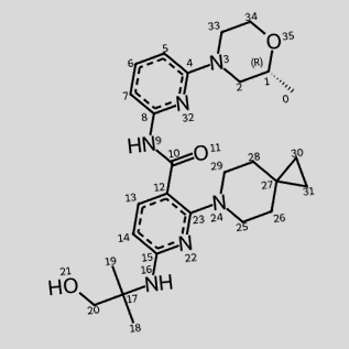 C[C@@H]1CN(c2cccc(NC(=O)c3ccc(NC(C)(C)CO)nc3N3CCC4(CC3)CC4)n2)CCO1